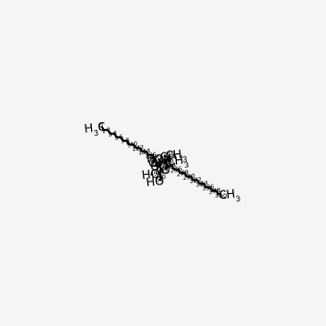 CCCCCCCCC=CCCCCCCCC(=O)O/C(C(C(=O)CCCCCCCCCCCCCCCCC)[N+](C)(C)C)=[P+](\[O-])CC(O)CO